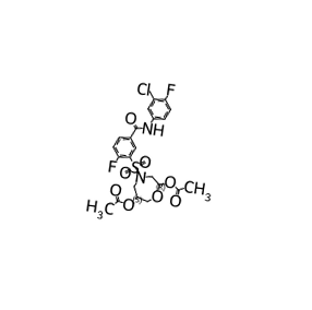 CC(=O)O[C@@H]1CO[C@H](OC(C)=O)CN(S(=O)(=O)c2cc(C(=O)Nc3ccc(F)c(Cl)c3)ccc2F)C1